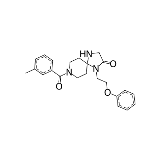 Cc1cccc(C(=O)N2CCC3(CC2)NCC(=O)N3CCOc2ccccc2)c1